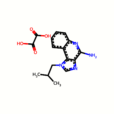 CC(C)Cn1cnc2c(N)nc3ccccc3c21.O=C(O)C(=O)O